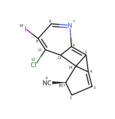 N#C[C@@H]1CC=C2C3=C4N=CC(I)=C(Cl)C4C231